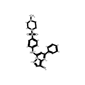 CN1CCN(S(=O)(=O)c2ccc(Nc3cc(-c4ccccc4)nc4c(Br)cnn34)cc2)CC1